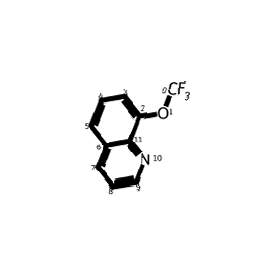 FC(F)(F)Oc1cccc2cccnc12